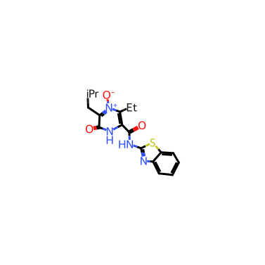 CCc1c(C(=O)Nc2nc3ccccc3s2)[nH]c(=O)c(CC(C)C)[n+]1[O-]